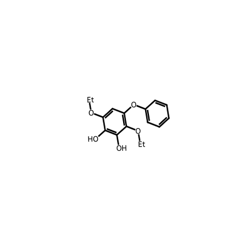 CCOc1cc(Oc2ccccc2)c(OCC)c(O)c1O